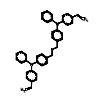 C=Cc1ccc(N(c2ccccc2)c2ccc(CSCc3ccc(N(c4ccccc4)c4ccc(C=C)cc4)cc3)cc2)cc1